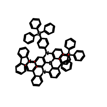 c1ccc(-c2ccccc2N2c3cccc(-c4ccccc4)c3B3c4cc([Si](c5ccccc5)(c5ccccc5)c5ccccc5)ccc4N(c4ccc([Si](c5ccccc5)(c5ccccc5)c5ccccc5)cc4)c4cc(-n5c6ccccc6c6ccccc65)cc2c43)cc1